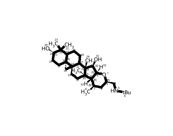 C[C@@H]1C[C@H](CNC(C)(C)C)O[C@H]2[C@H]1[C@@]1(C)CC[C@@]34C[C@@]35CC[C@H](O)C(C)(C)C5CCC4[C@]1(C)[C@H]2O